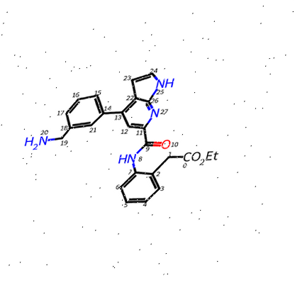 CCOC(=O)Cc1ccccc1NC(=O)c1cc(-c2cccc(CN)c2)c2cc[nH]c2n1